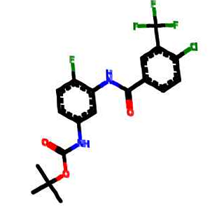 CC(C)(C)OC(=O)Nc1ccc(F)c(NC(=O)c2ccc(Cl)c(C(F)(F)F)c2)c1